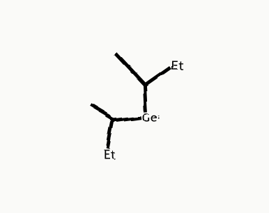 CC[CH](C)[Ge][CH](C)CC